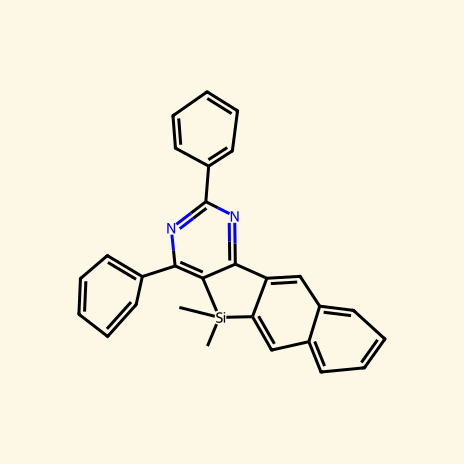 C[Si]1(C)c2cc3ccccc3cc2-c2nc(-c3ccccc3)nc(-c3ccccc3)c21